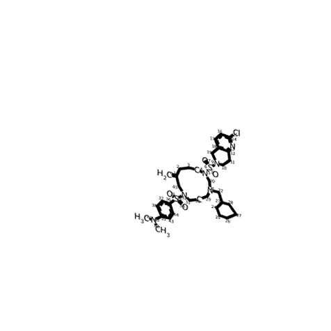 C=C1CCCN(S(=O)(=O)N2CCc3nc(Cl)ccc3C2)CN(CC2CCCCC2)CCCN(S(=O)(=O)c2ccc(N(C)C)cc2)C1